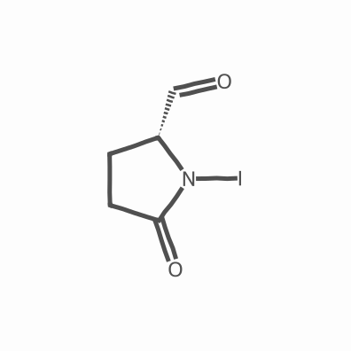 O=C[C@H]1CCC(=O)N1I